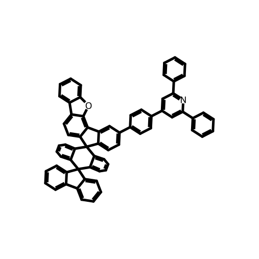 c1ccc(-c2cc(-c3ccc(-c4ccc5c(c4)-c4c(ccc6c4oc4ccccc46)C54c5ccccc5C5(c6ccccc6-c6ccccc65)c5ccccc54)cc3)cc(-c3ccccc3)n2)cc1